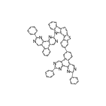 c1ccc(-c2ncc3c4ccc(-c5ccc6c(c5)sc5ccc7c8ccccc8n(-c8ncc9c%10ccccc%10c%10cnc(-c%11ccccc%11)nc%10c9n8)c7c56)cc4c4cnc(-c5ccccc5)nc4c3n2)cc1